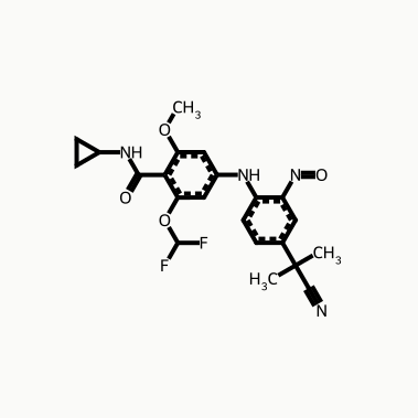 COc1cc(Nc2ccc(C(C)(C)C#N)cc2N=O)cc(OC(F)F)c1C(=O)NC1CC1